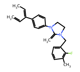 C=C/C(=C\C)c1ccc(N2CCN(Cc3cccc(C)c3F)C2=C)cc1